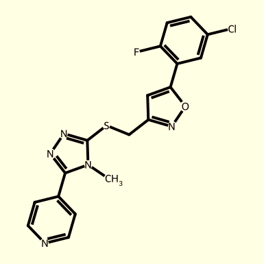 Cn1c(SCc2cc(-c3cc(Cl)ccc3F)on2)nnc1-c1ccncc1